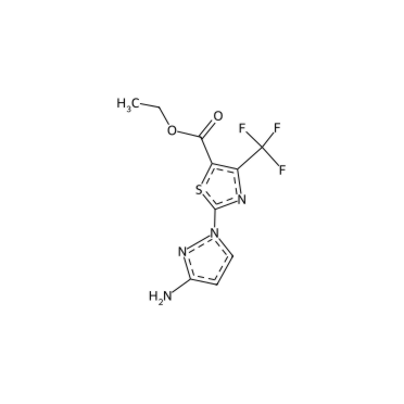 CCOC(=O)c1sc(-n2ccc(N)n2)nc1C(F)(F)F